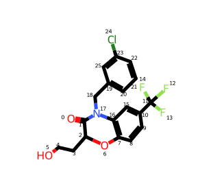 O=C1C(CCO)Oc2ccc(C(F)(F)F)cc2N1Cc1cccc(Cl)c1